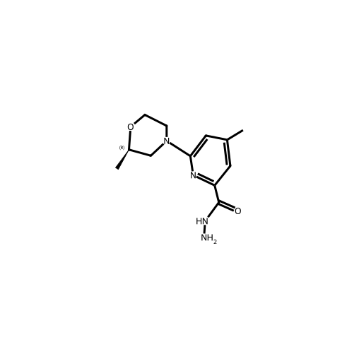 Cc1cc(C(=O)NN)nc(N2CCO[C@H](C)C2)c1